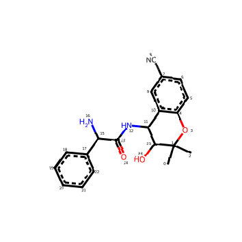 CC1(C)Oc2ccc(C#N)cc2C(NC(=O)C(N)c2ccccc2)C1O